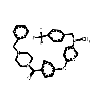 CN(Cc1ccc(C(F)(F)F)cc1)c1ccc(Oc2ccc(C(=O)N3CCN(Cc4ccccc4)CC3)cc2)nc1